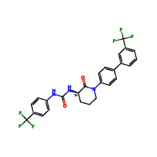 O=C(Nc1ccc(C(F)(F)F)cc1)N[C@@H]1CCCN(c2ccc(-c3cccc(C(F)(F)F)c3)cc2)C1=O